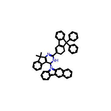 CC1(C)C2=C(c3ccccc31)C(n1c3ccccc3c3cc4ccccc4cc31)NC(C1=CC3=C(CC1)C(c1ccccc1)(c1ccccc1)c1ccccc13)=N2